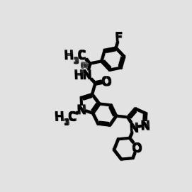 C[C@H](NC(=O)c1cn(C)c2ccc(-c3ccnn3C3CCCCO3)cc12)c1cccc(F)c1